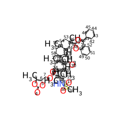 Cc1oc(=O)oc1COC(=O)[C@]1(C)[C@@H](NS(C)(=O)=O)CC[C@@]2(C)[C@H]1CC[C@]1(C)[C@@H]2C(=O)C=C2[C@@H]3C[C@@](C)(C(=O)OC(c4ccccc4)c4ccccc4)CC[C@]3(C)CC[C@]21C